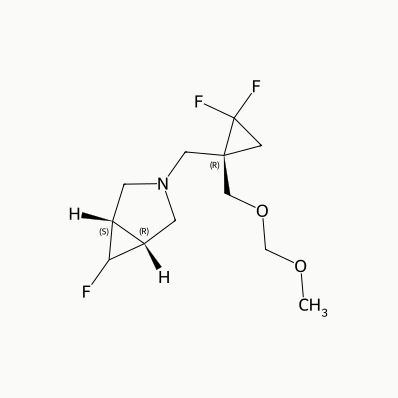 COCOC[C@]1(CN2C[C@@H]3C(F)[C@@H]3C2)CC1(F)F